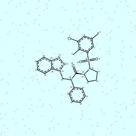 Cc1c(Cl)cc(F)cc1S(=O)(=O)N1CCC[C@H]1C(=O)N(Cn1nnc2ccccc21)c1ccccc1